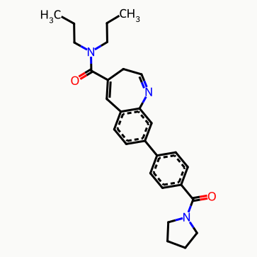 CCCN(CCC)C(=O)C1=Cc2ccc(-c3ccc(C(=O)N4CCCC4)cc3)cc2N=CC1